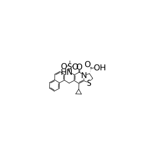 CS(=O)(=O)Nc1c(Cc2cccc3ccccc23)c(C2CC2)c2n(c1=O)[C@H](C(=O)O)CS2